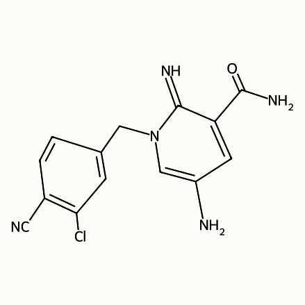 N#Cc1ccc(Cn2cc(N)cc(C(N)=O)c2=N)cc1Cl